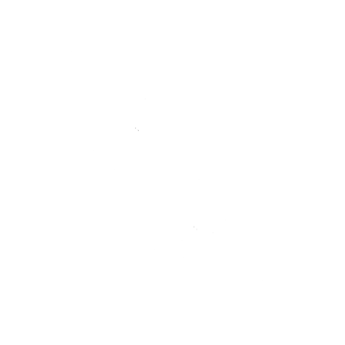 Cc1cc(C)cc(N(c2cc3ccc4ccc(N(c5cc(C)cc(C)c5)c5cc(C)c(-c6cccc7c6oc6ccccc67)cc5C)c5ccc(c2)c3c45)c2cc(C)c(-c3cccc4c3oc3ccccc34)cc2C)c1